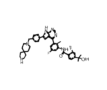 Cc1c(NC(=O)c2ccc(C(C)(C)O)cc2F)cc(F)cc1-c1ncnc2[nH]c(-c3ccc(CN4CCC5(CCNCC5)CC4)cc3)cc12